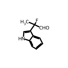 CC(F)(C=O)c1c[nH]c2ccccc12